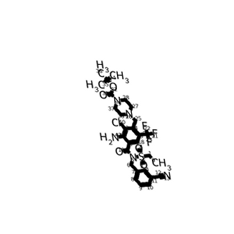 CCS(=O)(=O)N(Cc1cccc(C#N)c1)C(=O)c1cc(C(F)(F)F)c(CN2CCN(C(=O)OC(C)(C)C)CC2)c(Cl)c1N